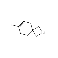 IC1=CCC2(CC1)CNC2